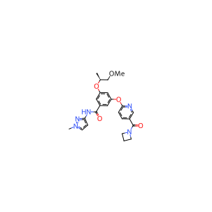 COC[C@H](C)Oc1cc(Oc2ccc(C(=O)N3CCC3)cn2)cc(C(=O)Nc2ccn(C)n2)c1